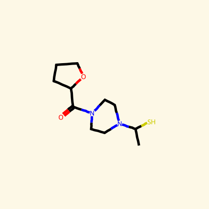 CC(S)N1CCN(C(=O)C2CCCO2)CC1